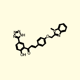 Cn1c(COc2ccc(C=CC(=O)c3cc(-c4nnn[nH]4)ccc3O)cc2)nc2ccccc21